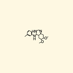 COC1CC2=NCNC(Nc3cccc(C)c3)C2CC1OC